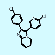 Clc1ccc(-c2nc3ccccn3c2-c2ccc(Cl)nc2)cc1